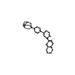 c1ccc2cc3c(cc2c1)oc1ccc(-c2ccc(C45CC6CC(C4)C(C6)C5)cc2)cc13